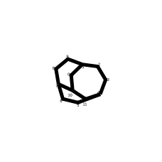 [CH]1C2CCC3CCC(CC2)C1C3